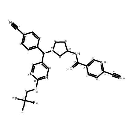 N#Cc1ccc([C@H](c2cnc(OCC(F)(F)F)nc2)N2CCC(NC(=O)c3ccc(C#N)nc3)C2)cc1